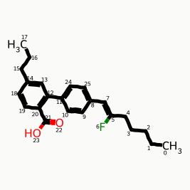 CCCCCC(F)=Cc1ccc(-c2cc(CCC)ccc2C(=O)O)cc1